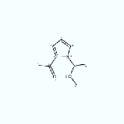 COC(C)n1cccc1C(C)=O